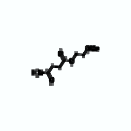 COCCOC(=O)CCC(N)=O